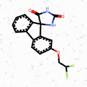 O=C1NC(=O)C2(N1)c1ccccc1-c1ccc(OCC(F)F)cc12